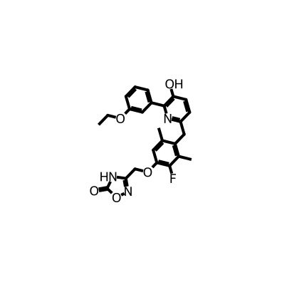 CCOc1cccc(-c2nc(Cc3c(C)cc(OCc4noc(=O)[nH]4)c(F)c3C)ccc2O)c1